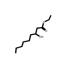 CCCCCCC(O)CC(=O)OCC